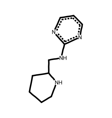 c1cnc(NCC2CCCCN2)nc1